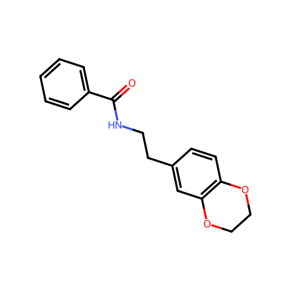 O=C(NCCc1ccc2c(c1)OCCO2)c1ccccc1